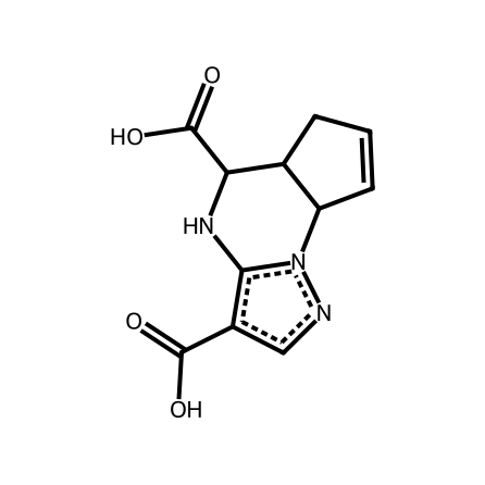 O=C(O)c1cnn2c1NC(C(=O)O)C1CC=CC12